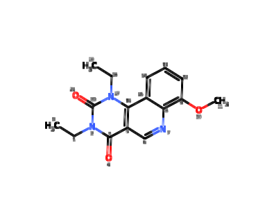 CCn1c(=O)c2cnc3c(OC)cccc3c2n(CC)c1=O